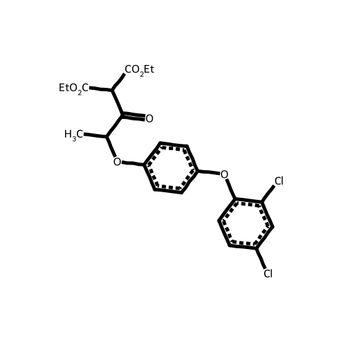 CCOC(=O)C(C(=O)OCC)C(=O)C(C)Oc1ccc(Oc2ccc(Cl)cc2Cl)cc1